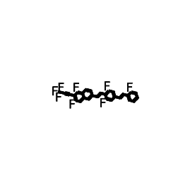 Fc1ccccc1/C=C/c1cc(F)c(/C=C/c2ccc3c(F)c(C#CC(F)(F)F)c(F)cc3c2)c(F)c1